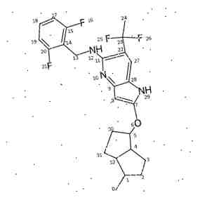 CC1CCC2C(Oc3cc4nc(NCc5c(F)cccc5F)c(C(C)(F)F)cc4[nH]3)CCC12